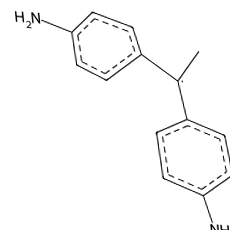 C[C](c1ccc(N)cc1)c1ccc(N)cc1